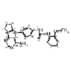 COc1ccccc1NC(=O)Nc1ccc(-n2c3c(c4ncnc(N)c42)CCC3)cc1